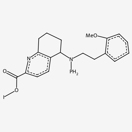 COc1ccccc1CCN(P)C1CCCc2nc(C(=O)OI)ccc21